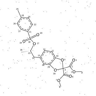 COC(=O)C1(C(=O)OC)Oc2ccc(C[C@H](C)OS(=O)(=O)c3ccc(C)cc3)cc2O1